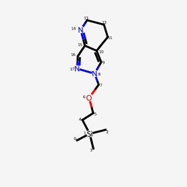 C[Si](C)(C)CCOCN1C=C2CCCN=C2C=N1